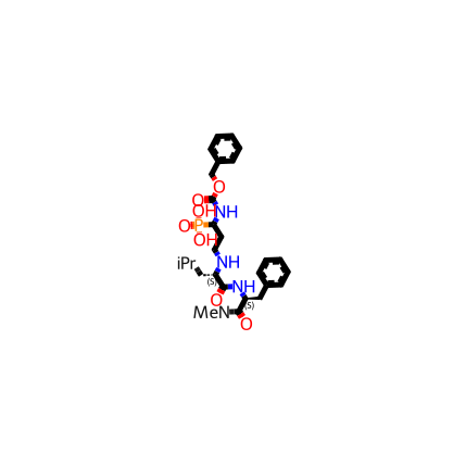 CNC(=O)[C@H](Cc1ccccc1)NC(=O)[C@H](CC(C)C)NCCC(NC(=O)OCc1ccccc1)P(=O)(O)O